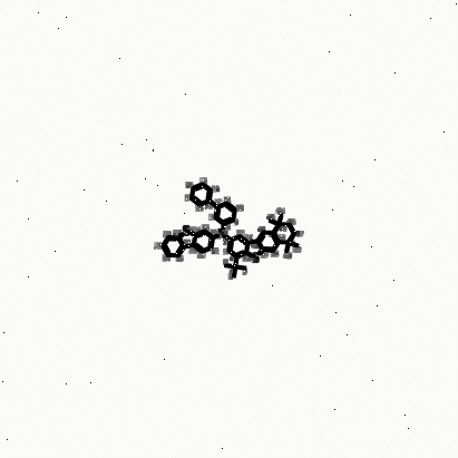 CC(C)(C)c1cc(N(c2cccc(-c3ccccc3)c2)c2ccc3c(c2)sc2ccccc23)cc2c1sc1cc3c(cc12)C(C)(C)CCC3(C)C